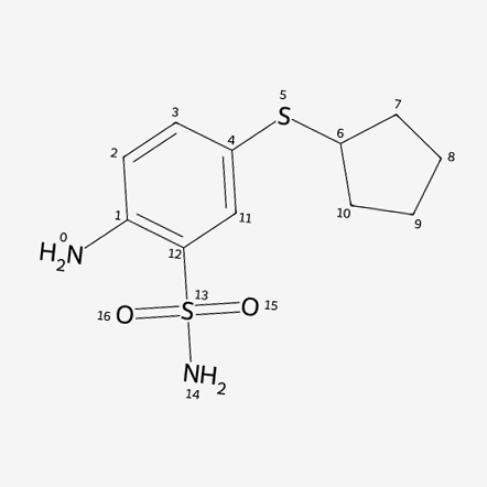 Nc1ccc(SC2CCCC2)cc1S(N)(=O)=O